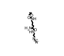 CC(C)(C)OC(=O)NCCCC[C@H](N)C(=O)NCCCN=[N+]=[N-]